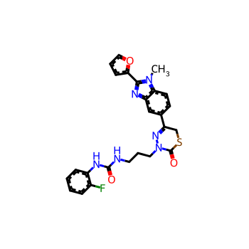 Cn1c(-c2ccco2)nc2cc(C3=NN(CCCNC(=O)Nc4ccccc4F)C(=O)SC3)ccc21